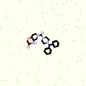 O=C1COC2CCN(C(=O)N3CCN(C(c4ccccc4)c4ccccc4)CC3)CC2N1